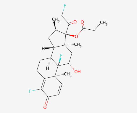 CCC(=O)O[C@]1(C(=O)CF)[C@H](C)C[C@H]2[C@@H]3CCC4=C(F)C(=O)C=C[C@]4(C)[C@@]3(F)[C@@H](O)C[C@@]21C